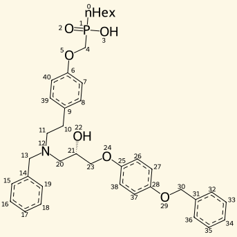 CCCCCCP(=O)(O)COc1ccc(CCN(Cc2ccccc2)C[C@H](O)COc2ccc(OCc3ccccc3)cc2)cc1